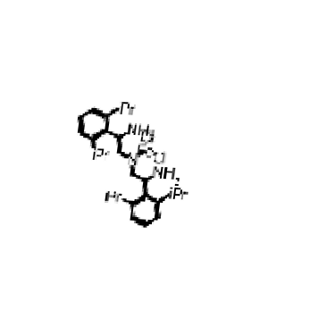 CC(C)c1cccc(C(C)C)c1C(N)C[N](CC(N)c1c(C(C)C)cccc1C(C)C)[Fe]([Cl])[Cl]